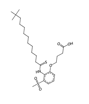 CC(C)(C)CCCCCCCCCCC(=S)Nc1c(OCCCC(=O)O)cccc1S(C)(=O)=O